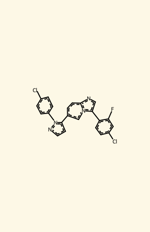 Fc1cc(Cl)ccc1-c1cnc2ccc(-c3ccnn3-c3ccc(Cl)cc3)cn12